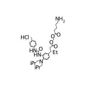 CC[C@@H](CC(=O)OCOC(=O)CCCCN)c1ccc(N(CC(C)C)CC(C)C)c(NC(=O)Nc2ccc(C)cc2)c1.Cl